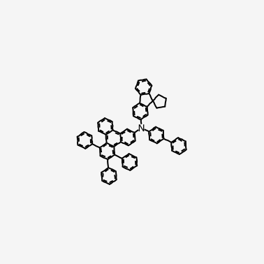 c1ccc(-c2ccc(N(c3ccc4c(c3)C3(CCCC3)c3ccccc3-4)c3ccc4c(c3)c3ccccc3c3c(-c5ccccc5)cc(-c5ccccc5)c(-c5ccccc5)c43)cc2)cc1